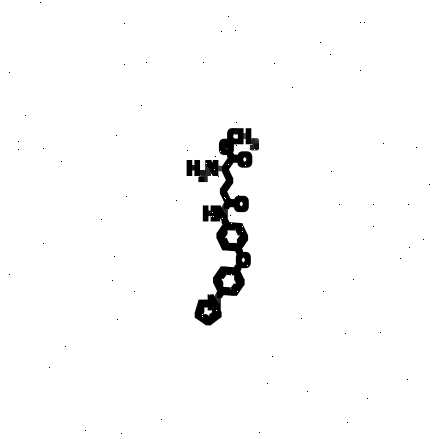 COC(=O)[C@@H](N)CCC(=O)Nc1ccc(Oc2ccc(-n3cccc3)cc2)cc1